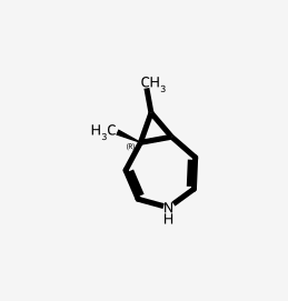 CC1C2C=CNC=C[C@]12C